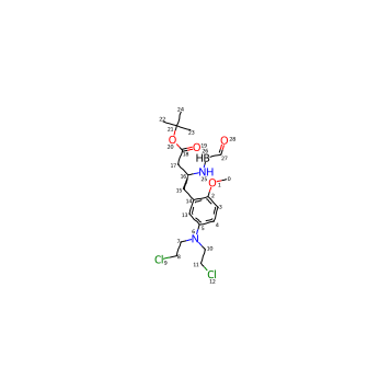 COc1ccc(N(CCCl)CCCl)cc1C[C@@H](CC(=O)OC(C)(C)C)NBC=O